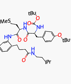 CSCC[C@@H](NC(=O)[C@H](Cc1ccc(OC(C)(C)C)cc1)NC(=O)OC(C)(C)C)C(=O)Nc1ccccc1CCCC(=O)NCCC(C)C